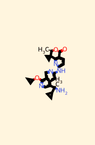 C[C@@H]1OC(=O)c2ccc(Nc3cc4c([C@](C)(N)C5CC5)cnc(OC5CC5)c4cn3)nc2C12CC2